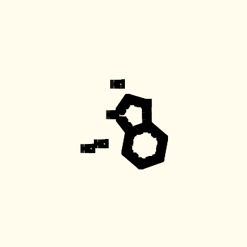 Cl.Cl.Cl.c1ccc2[nH]cnc2c1